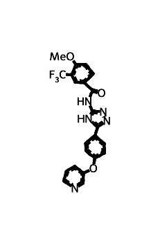 COc1ccc(C(=O)Nc2nnc(-c3ccc(Oc4cccnc4)cc3)[nH]2)cc1C(F)(F)F